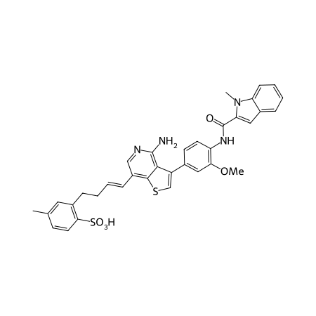 COc1cc(-c2csc3c(C=CCCc4cc(C)ccc4S(=O)(=O)O)cnc(N)c23)ccc1NC(=O)c1cc2ccccc2n1C